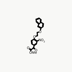 COC(=O)C(=O)c1ccc(OCCOc2ccc3ccccc3c2)c([N+](=O)[O-])c1